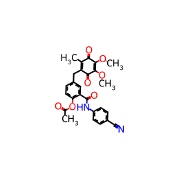 COC1=C(OC)C(=O)C(Cc2ccc(OC(C)=O)c(C(=O)Nc3ccc(C#N)cc3)c2)=C(C)C1=O